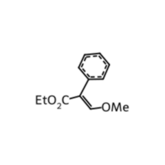 CCOC(=O)/C(=C/OC)c1ccccc1